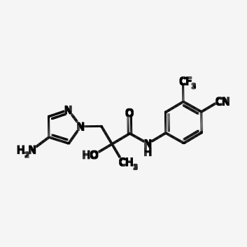 CC(O)(Cn1cc(N)cn1)C(=O)Nc1ccc(C#N)c(C(F)(F)F)c1